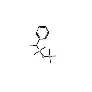 CC(c1ccccc1)[Si](C)(C)O[Si](C)(C)C